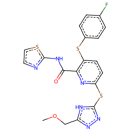 COCc1nnc(Sc2ccc(Sc3ccc(F)cc3)c(C(=O)Nc3nccs3)n2)[nH]1